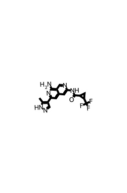 Cc1[nH]ncc1-c1cc2cc(NC(=O)C3CC3C(F)(F)F)ncc2c(N)n1